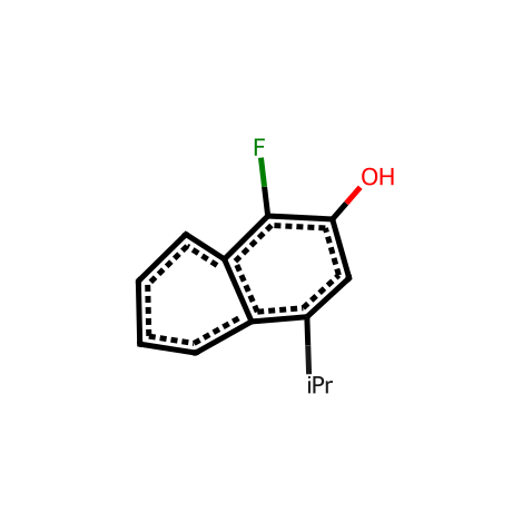 CC(C)c1cc(O)c(F)c2ccccc12